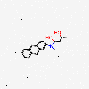 CC(O)CC(O)N(C)c1ccc2cc3ccccc3cc2c1